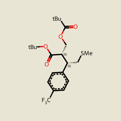 CSC[C@H](c1ccc(C(F)(F)F)cc1)[C@@H](COC(=O)C(C)(C)C)C(=O)OC(C)(C)C